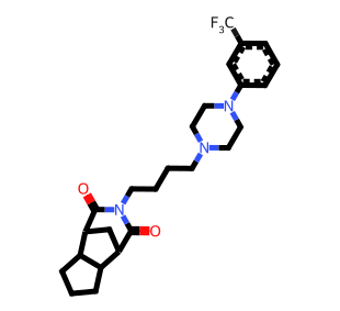 O=C1C2CC(C(=O)N1CCCCN1CCN(c3cccc(C(F)(F)F)c3)CC1)C1CCCC21